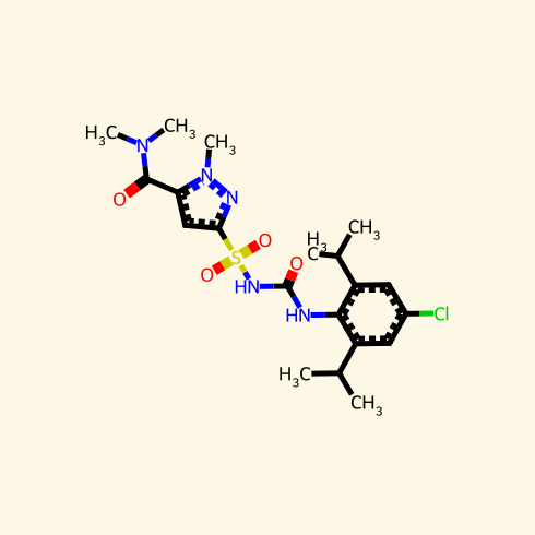 CC(C)c1cc(Cl)cc(C(C)C)c1NC(=O)NS(=O)(=O)c1cc(C(=O)N(C)C)n(C)n1